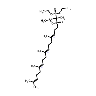 CCOP(=O)(CC/C=C(\C)CC/C=C(\C)CC/C=C(\C)CCC=C(C)C)C(C)(C)P(=O)(OCC)OCC